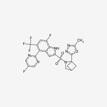 Cc1nnc(C23CC(CN2S(=O)(=O)c2cc4c(-c5ncc(F)cn5)c(C(F)(F)F)cc(F)c4[nH]2)C3)o1